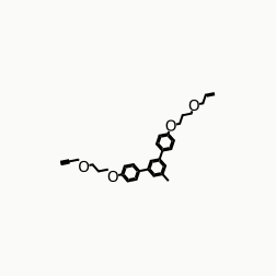 C#CCOCCCOc1ccc(-c2cc(C)cc(-c3ccc(OCCCOCC=C)cc3)c2)cc1